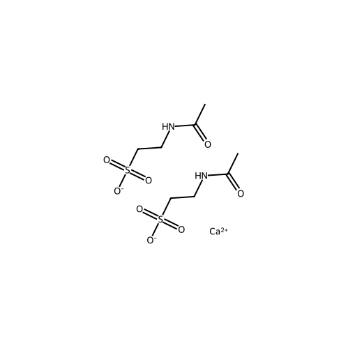 CC(=O)NCCS(=O)(=O)[O-].CC(=O)NCCS(=O)(=O)[O-].[Ca+2]